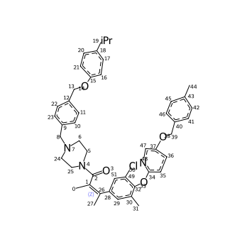 C/C(C(=O)N1CCN(Cc2ccc(COc3ccc(C(C)C)cc3)cc2)CC1)=C(\C)c1cc(C)c(Oc2ccc(OCc3ccc(C)cc3)cn2)c(Cl)c1